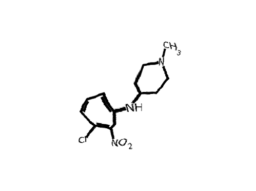 CN1CCC(Nc2cccc(Cl)c2[N+](=O)[O-])CC1